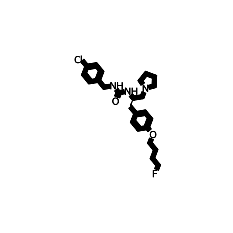 O=C(NCc1ccc(Cl)cc1)N[C@@H](Cc1ccc(OCCCCF)cc1)CN1CCCC1